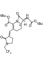 CC(C)(C)OC(=O)N[C@@H]1C(=O)N2C(C(=O)OC(C)(C)C)=C(C=C3CCN(CC(F)(F)F)C3=O)CC[C@H]12